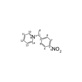 CC(c1ccc([N+](=O)[O-])cc1)[n+]1ccccc1